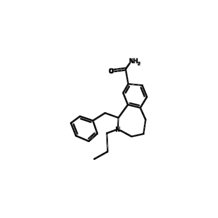 CCCN1CCCc2ccc(C(N)=O)cc2C1Cc1ccccc1